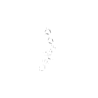 CC(CC1CN(c2ccc(-c3ccncc3F)cc2)C(=O)O1)(C(=O)NOC1CCCCO1)S(C)(=O)=O